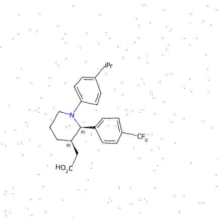 CC(C)c1ccc(N2CCC[C@H](CC(=O)O)[C@@H]2c2ccc(C(F)(F)F)cc2)cc1